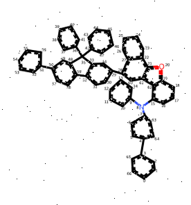 c1ccc(-c2ccc(N(c3ccccc3)c3cccc4oc5c6ccccc6c(-c6ccc7c(c6)C(c6ccccc6)(c6ccccc6)c6cc(-c8ccccc8)ccc6-7)cc5c34)cc2)cc1